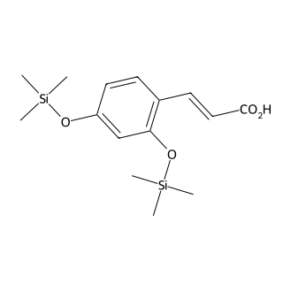 C[Si](C)(C)Oc1ccc(C=CC(=O)O)c(O[Si](C)(C)C)c1